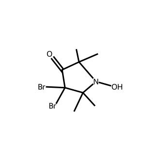 CC1(C)C(=O)C(Br)(Br)C(C)(C)N1O